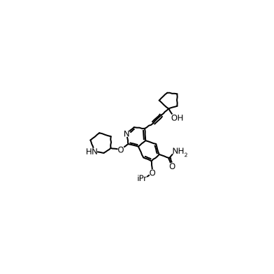 CC(C)Oc1cc2c(OC3CCCNC3)ncc(C#CC3(O)CCCC3)c2cc1C(N)=O